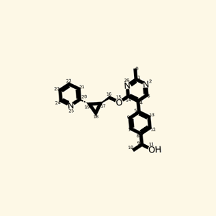 Cc1ncc(-c2ccc(C(C)O)cc2)c(OC[C@H]2C[C@@H]2c2ccccn2)n1